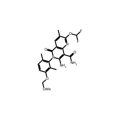 COCOc1ccc(C)c(-n2c(N)c(C(N)=O)c3nc(OC(F)F)c(C)cc3c2=O)c1C